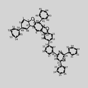 C1=CC2Oc3c(cc4c(oc5ccc(-c6cccc(-c7cc(-c8ccccc8)nc(-c8ccccc8)n7)c6)cc54)c3-c3ccccc3)C2C=C1c1ccccc1